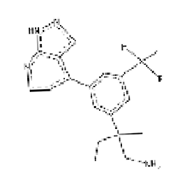 CCC(C)(CN)c1cc(-c2ccnc3[nH]ncc23)cc(C(C)(F)F)c1